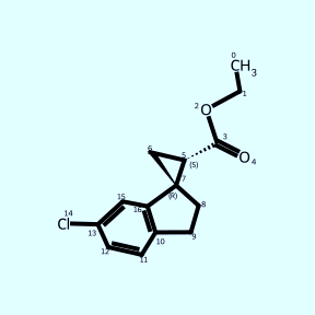 CCOC(=O)[C@H]1C[C@]12CCc1ccc(Cl)cc12